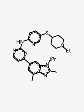 CCN1CCC(Sc2ccc(Nc3nccc(-c4cc(C)c5nc(C)n(C(C)C)c5c4)n3)nc2)CC1